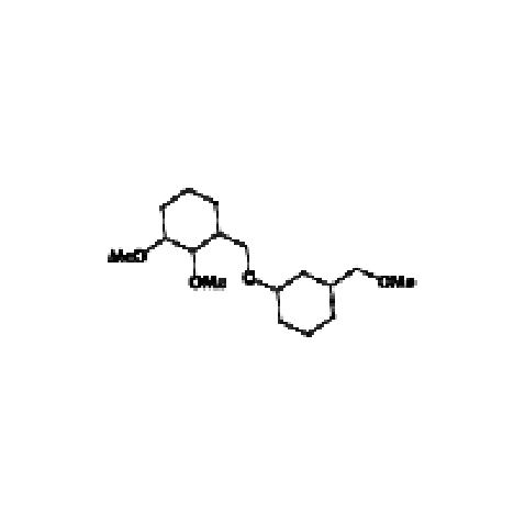 COCC1CCCC(OCC2CCCC(OC)C2OC)C1